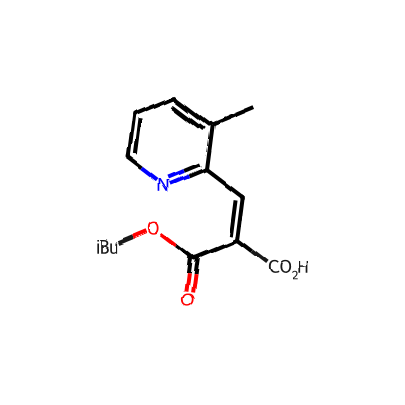 CCC(C)OC(=O)C(=Cc1ncccc1C)C(=O)O